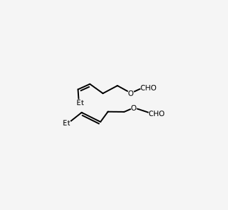 CC/C=C\CCOC=O.CCC=CCCOC=O